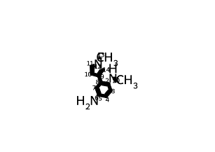 CNc1ccc(N)cc1-c1ccn(C)c1